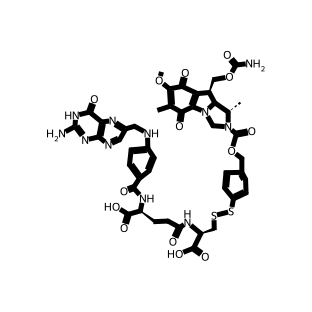 COC1=C(C)C(=O)C2=C(C1=O)[C@@H](COC(N)=O)C1[C@H](C)N(C(=O)OCc3ccc(SSC[C@H](NC(=O)CC[C@H](NC(=O)c4ccc(NCc5cnc6nc(N)[nH]c(=O)c6n5)cc4)C(=O)O)C(=O)O)cc3)CN21